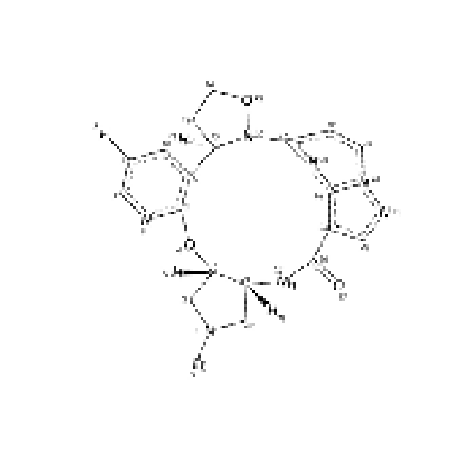 CCN1C[C@@H]2Oc3ncc(F)cc3[C@H]3CCON3c3ccn4ncc(c4n3)C(=O)N[C@@H]2C1